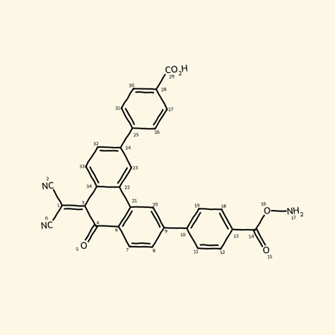 N#CC(C#N)=C1C(=O)c2ccc(-c3ccc(C(=O)ON)cc3)cc2-c2cc(-c3ccc(C(=O)O)cc3)ccc21